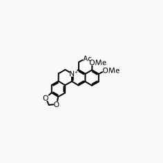 COc1ccc2cc3[n+](c(CC(C)=O)c2c1OC)CCc1cc2c(cc1-3)OCO2